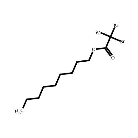 CCCCCCCCCOC(=O)C(Br)(Br)Br